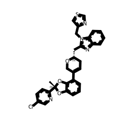 C[C@]1(c2ccc(Cl)cn2)Oc2cccc(C3=CC[C@@H](Cc4nc5ccccc5n4Cc4cscn4)OC3)c2O1